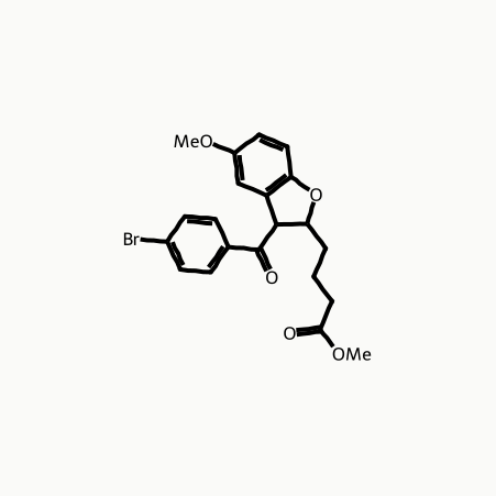 COC(=O)CCCC1Oc2ccc(OC)cc2C1C(=O)c1ccc(Br)cc1